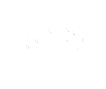 O=C(N1CCOCC1)N(Cc1ccc(-c2nnc(C(F)F)o2)cn1)c1ccccc1